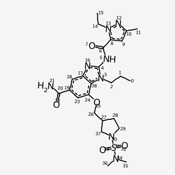 CCCn1c(NC(=O)c2cc(C)nn2CC)nc2cc(C(N)=O)cc(OCC3CCN(S(=O)(=O)N(C)C)C3)c21